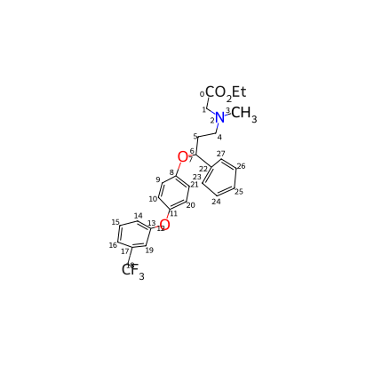 CCOC(=O)CN(C)CCC(Oc1ccc(Oc2cccc(C(F)(F)F)c2)cc1)c1ccccc1